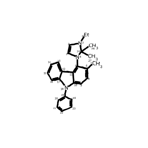 CCN1C=CN(c2c(C)ccc3c2c2ccccc2n3-c2ccccc2)C1(C)C